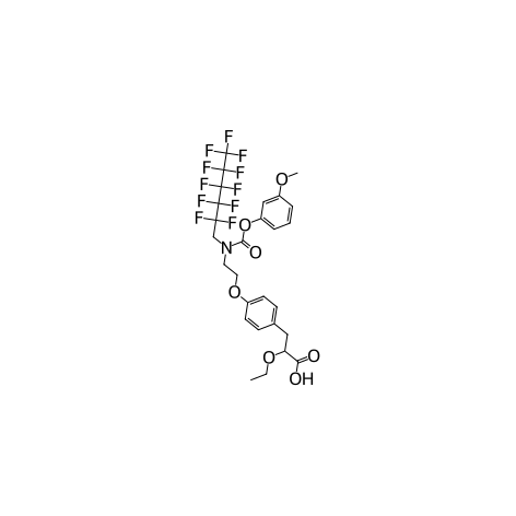 CCOC(Cc1ccc(OCCN(CC(F)(F)C(F)(F)C(F)(F)C(F)(F)C(F)(F)F)C(=O)Oc2cccc(OC)c2)cc1)C(=O)O